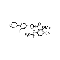 COc1c(C#N)ccc(O[C@@H](C)C(F)(F)F)c1C(=O)N1CC(c2ccc(C3CCOCC3)c(F)c2)C1